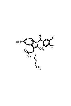 CCCCC[C@H](C(=O)O)c1c(C)n(C(=O)c2ccc(Cl)c(F)c2)c2ccc(O)cc12